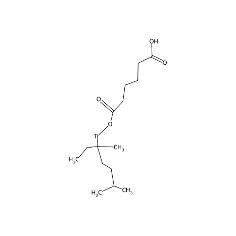 CC[C](C)(CCC(C)C)[Ti][O]C(=O)CCCCC(=O)O